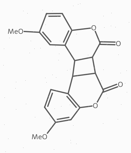 COc1ccc2c(c1)OC(=O)C1C3C(=O)Oc4ccc(OC)cc4C3C21